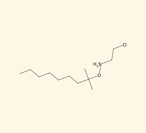 CCCCCCCC(C)(C)O[SiH2]CCCl